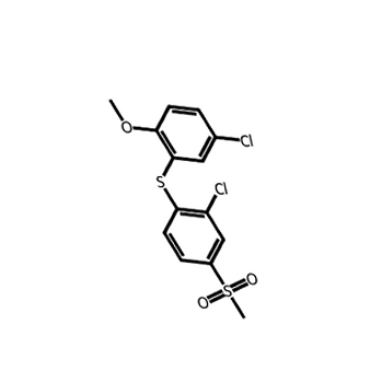 COc1ccc(Cl)cc1Sc1ccc(S(C)(=O)=O)cc1Cl